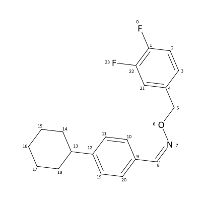 Fc1ccc(CO/N=[C]\c2ccc(C3CCCCC3)cc2)cc1F